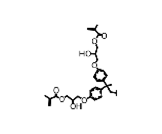 C=C(C)C(=O)OCC(O)COc1ccc(C(C)(CI)c2ccc(OCC(O)COC(=O)C(=C)C)cc2)cc1